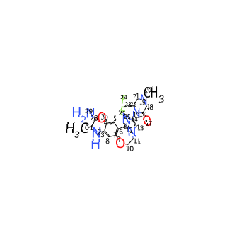 C[C@H](Nc1ccc2c(c1)OCCn1cc(N3C(=O)CN(C)CC3C(F)F)nc1-2)C(N)=O